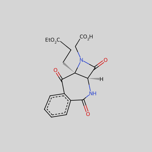 CCOC(=O)CC[C@@]12C(=O)c3ccccc3C(=O)N[C@@H]1C(=O)N2CC(=O)O